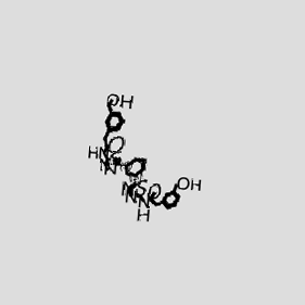 O=C(Cc1cccc(CO)c1)Nc1nnc([C@H]2CCC[C@H](c3nnc(NC(=O)Cc4cccc(CO)c4)s3)C2)s1